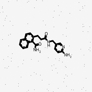 NC(=O)c1c(C[CH]C(=O)NCc2ccc(N)nc2)ccc2ccccc12